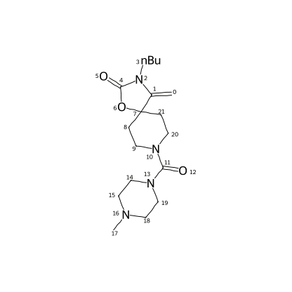 C=C1N(CCCC)C(=O)OC12CCN(C(=O)N1CCN(C)CC1)CC2